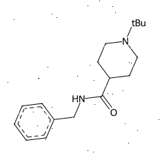 CC(C)(C)N1CCC(C(=O)NCc2ccccc2)CC1